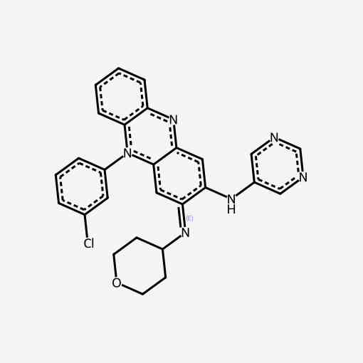 Clc1cccc(-n2c3c/c(=N\C4CCOCC4)c(Nc4cncnc4)cc-3nc3ccccc32)c1